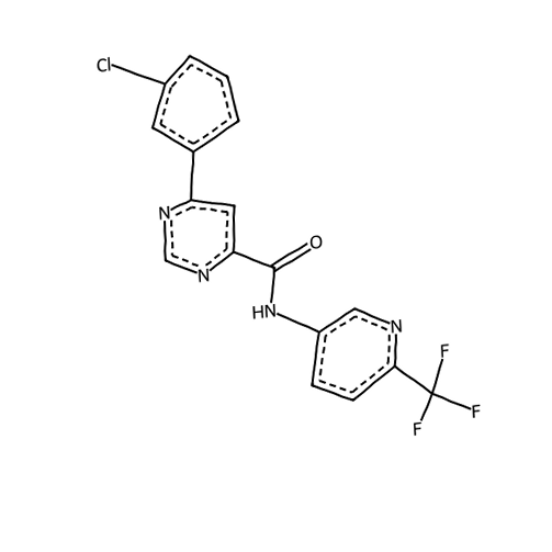 O=C(Nc1ccc(C(F)(F)F)nc1)c1cc(-c2cccc(Cl)c2)ncn1